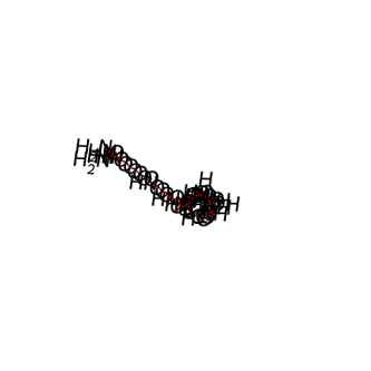 CCCC[C@H](NC(=O)CCC(=O)NCCCOCCOCCOCCCNC(=O)CCOCCOCCOCCOCCOCCOCCNC(=O)C(CNCCN)CNCCN)C(=O)N[C@H]1CSCc2cccc(c2)CSC[C@@H](C(=O)O)NC(=O)[C@H](Cc2ccccc2)NC(=O)[C@H](CCC(=O)O)NC(=O)[C@H]([C@@H](C)O)NC(=O)[C@@H]2CCCN2C(=O)[C@@H]2CCCN2C1=O